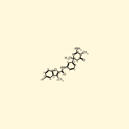 Cc1c(C(=O)Nc2cccc(C3(C)CC(=O)N(C)C(N)=N3)c2)oc2ccc(F)cc12